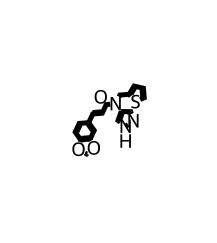 O=C(C=Cc1ccc2c(c1)OCO2)N(Cc1cccs1)c1cn[nH]c1